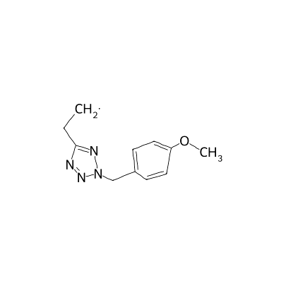 [CH2]Cc1nnn(Cc2ccc(OC)cc2)n1